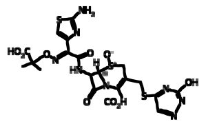 CC(C)(ON=C(C(=O)NC1C(=O)N2C(C(=O)O)=C(CSc3cnnc(O)n3)C[S+]([O-])[C@@H]12)c1csc(N)n1)C(=O)O